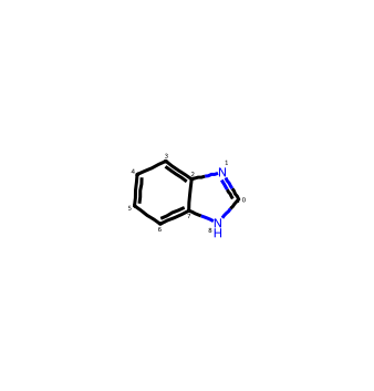 [c]1nc2ccccc2[nH]1